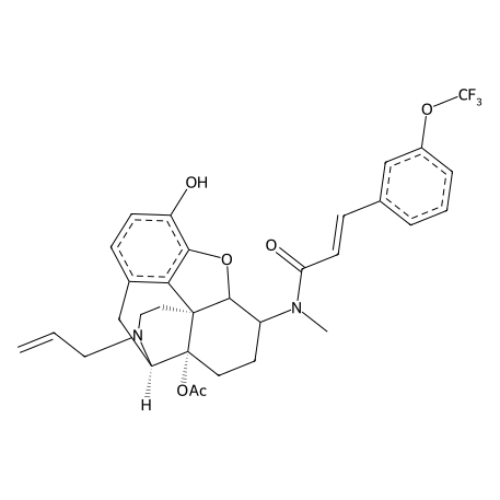 C=CCN1CC[C@]23c4c5ccc(O)c4OC2C(N(C)C(=O)/C=C/c2cccc(OC(F)(F)F)c2)CC[C@@]3(OC(C)=O)[C@H]1C5